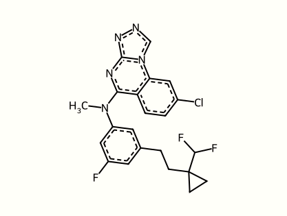 CN(c1cc(F)cc(CCC2(C(F)F)CC2)c1)c1nc2nncn2c2cc(Cl)ccc12